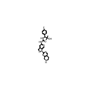 CC(C)(O)C(NC(=O)Nc1cc2cnn(-c3ncc4c(n3)CNCC4)c2cn1)c1ccc(F)cc1